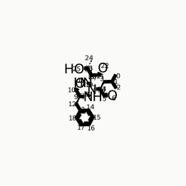 CC(C)C[C@@H](C=O)N(N[C@H](C=O)Cc1ccccc1)N[C@H](C=O)[C@@H](C)O